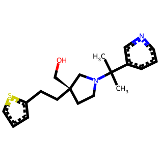 CC(C)(c1cccnc1)N1CC[C@](CO)(CCc2cccs2)C1